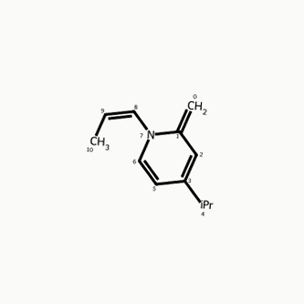 C=C1C=C(C(C)C)C=CN1/C=C\C